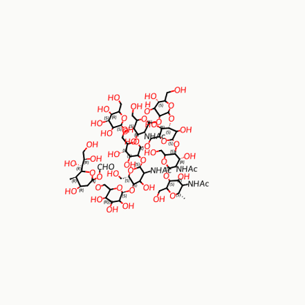 CC(=O)NC1C(O)[C@H](O[C@@H]2OC(CO[C@]3(OC=O)C[C@@H](O)[C@@H](C)C([C@H](O)[C@H](O)CO)O3)[C@H](O)[C@H](O)C2O)[C@H](CO)O[C@H]1OC1[C@@H](OCC2O[C@@H](O[C@@H]3C(CO)O[C@@H](O[C@@H]4C(CO)O[C@@H](C)C(NC(C)=O)[C@H]4O)C(NC(C)=O)[C@H]3O)C(O)[C@@H](OC3OC(CO)[C@@H](O)C(O)C3O[C@@H]3OC(CO)[C@@H](O[C@@H]4OC(CO)[C@H](O)[C@H](O)C4O)[C@H](O)C3NC(C)=O)[C@@H]2O)OC(CO)[C@@H](O)[C@@H]1O